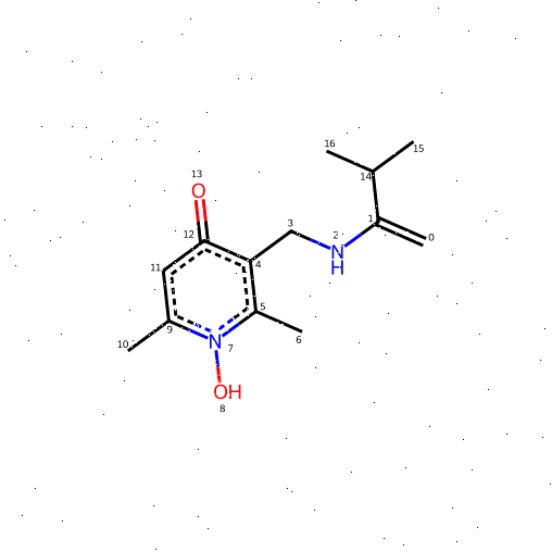 C=C(NCc1c(C)n(O)c(C)cc1=O)C(C)C